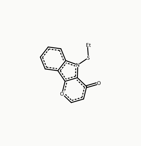 CCSn1c2ccccc2c2occc(=O)c21